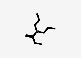 C=C(CC)N(CCC)CCC